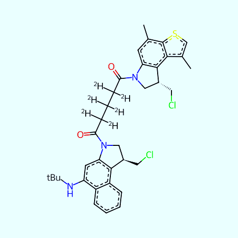 [2H]C([2H])(C(=O)N1C[C@@H](CCl)c2c1cc(NC(C)(C)C)c1ccccc21)C([2H])([2H])C([2H])([2H])C(=O)N1C[C@@H](CCl)c2c1cc(C)c1scc(C)c21